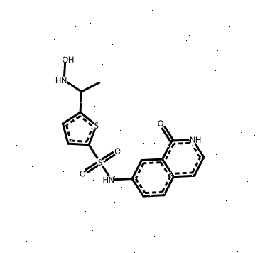 CC(NO)c1ccc(S(=O)(=O)Nc2ccc3cc[nH]c(=O)c3c2)s1